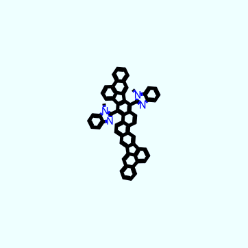 Cn1c(-c2c3c(c(-c4nc5ccccc5n4C)c4c2ccc2c5cc6c(cc5ccc24)-c2cc4ccccc4c4cccc-6c24)-c2cccc4c2c-3cc2ccccc24)nc2ccccc21